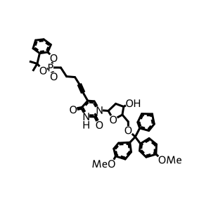 COc1ccc(C(OCC2OC(n3cc(C#CCCCP4(=O)Oc5ccccc5C(C)(C)O4)c(=O)[nH]c3=O)CC2O)(c2ccccc2)c2ccc(OC)cc2)cc1